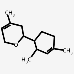 CC1=CC(C)C(C2CC(C)=CCO2)CC1